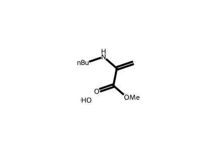 C=C(NCCCC)C(=O)OC.[OH]